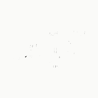 N[C@@H](CCC(=O)N[C@@H](CS)C(=O)NCC(=O)O)C(=O)O.[NaH]